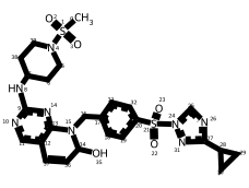 CS(=O)(=O)N1CCC(Nc2ncc3c(n2)N(Cc2ccc(S(=O)(=O)n4cnc(C5CC5)n4)cc2)C(O)C=C3)CC1